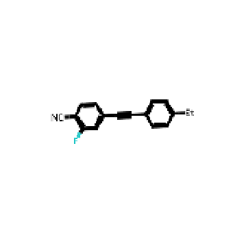 CCc1ccc(C#Cc2ccc(C#N)c(F)c2)cc1